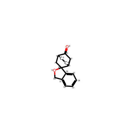 O=C1CC2CCC1CC21OCc2ccccc21